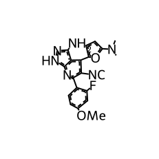 [C-]#[N+]c1c(-c2ccc(OC)cc2F)nc2[nH]nc(N)c2c1-c1ccc(N(C)C)o1